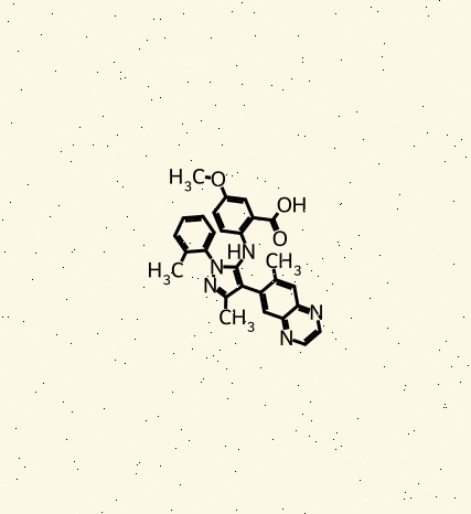 COc1ccc(Nc2c(-c3cc4nccnc4cc3C)c(C)nn2-c2ccccc2C)c(C(=O)O)c1